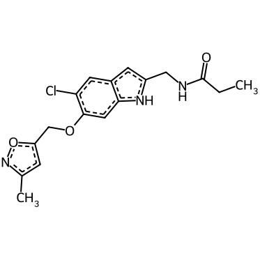 CCC(=O)NCc1cc2cc(Cl)c(OCc3cc(C)no3)cc2[nH]1